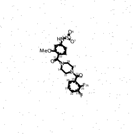 COc1cc(N[SH](=O)=O)ccc1C(=O)N1CCN(C(=O)c2cccc(F)c2F)CC1